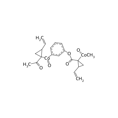 C=CC1C[C]1(C(=O)Oc1ccc[c]([Co](=[O])[C]2(C(C)=O)CC2C=C)c1)[Co]([CH3])=[O]